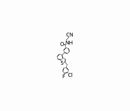 N#CCCNC(=O)c1cccc(-c2cccc3sc(Cc4ccc(F)c(Cl)c4)cc23)c1